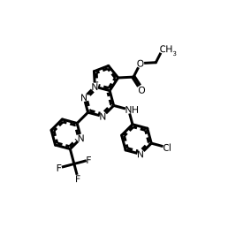 CCOC(=O)c1ccn2nc(-c3cccc(C(F)(F)F)n3)nc(Nc3ccnc(Cl)c3)c12